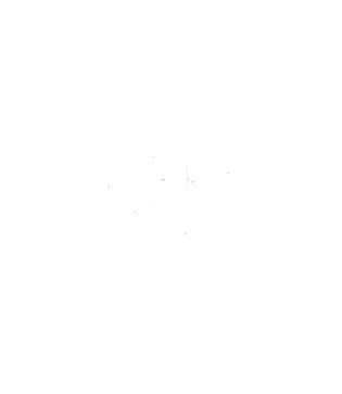 COc1c[c]c(NC(=O)C(C)(C)C)cc1